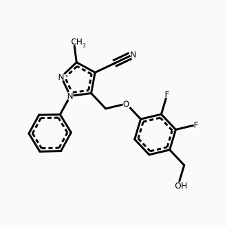 Cc1nn(-c2ccccc2)c(COc2ccc(CO)c(F)c2F)c1C#N